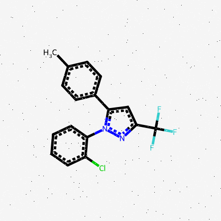 Cc1ccc(-c2cc(C(F)(F)F)nn2-c2ccccc2Cl)cc1